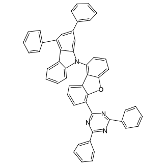 c1ccc(-c2cc(-c3ccccc3)c3c4ccccc4n(-c4cccc5oc6c(-c7nc(-c8ccccc8)nc(-c8ccccc8)n7)cccc6c45)c3c2)cc1